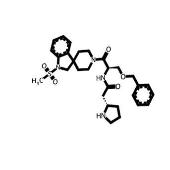 CS(=O)(=O)N1CC2(CCN(C(=O)[C@@H](COCc3ccccc3)NC(=O)C[C@@H]3CCCN3)CC2)c2ccccc21